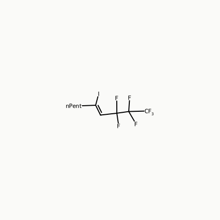 CCCCCC(I)=CC(F)(F)C(F)(F)C(F)(F)F